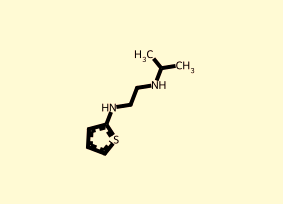 CC(C)NCCNc1cccs1